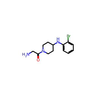 NCC(=O)N1CCC(Nc2ccccc2Br)CC1